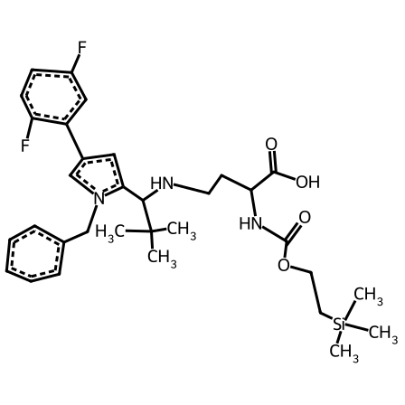 CC(C)(C)C(NCCC(NC(=O)OCC[Si](C)(C)C)C(=O)O)c1cc(-c2cc(F)ccc2F)cn1Cc1ccccc1